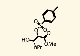 CCC[C@H](O)[C@@H](OS(=O)(=O)c1ccc(C)cc1)C(=O)OC